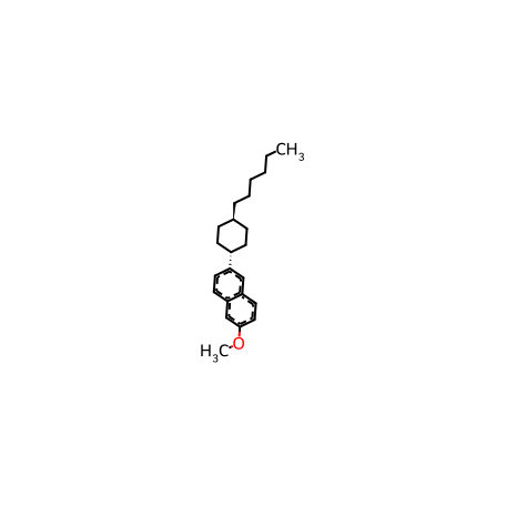 CCCCCC[C@H]1CC[C@H](c2ccc3cc(OC)ccc3c2)CC1